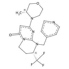 C[C@@H]1COCCN1c1cc(=O)n2c(n1)N(Cc1ccncc1)[C@H](C(F)(F)F)CC2